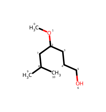 CO[C](CCCO)CC(C)C